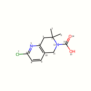 CC1(C)Cc2nc(Cl)ccc2CN1C(=O)O